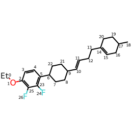 CCOc1ccc(C2CCC(/C=C/CCC3=CCC(C)CC3)CC2)c(F)c1F